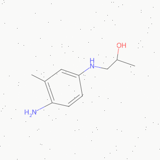 Cc1cc(NCC(C)O)ccc1N